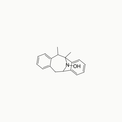 CC1c2ccccc2CC2c3ccccc3C1(C)N2O